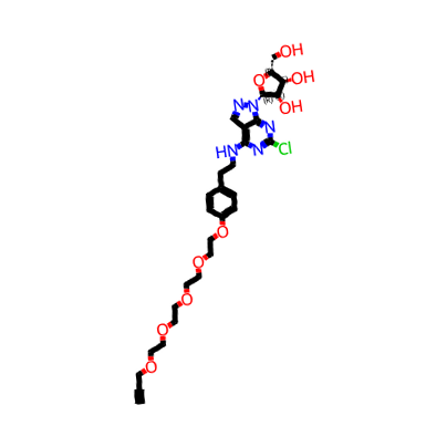 C#CCOCCOCCOCCOCCOc1ccc(CCNc2nc(Cl)nc3c2cnn3[C@@H]2O[C@H](CO)[C@@H](O)[C@H]2O)cc1